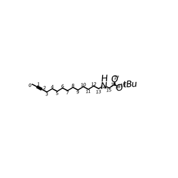 CC#CCCCCCCCCCCCNCC(=O)OC(C)(C)C